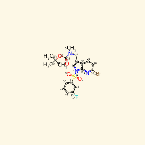 CN(Cc1cn(S(=O)(=O)c2cccc(F)c2)c2nc(Br)ccc12)C(=O)OC(C)(C)C